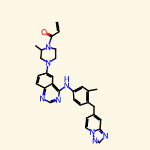 C=CC(=O)N1CCN(c2ccc3ncnc(Nc4ccc(Cc5ccn6ncnc6c5)c(C)c4)c3c2)CC1C